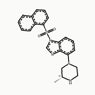 C[C@@H]1CN(c2cccc3c2ncn3S(=O)(=O)c2cccc3ccccc23)CCN1